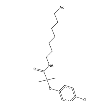 CC(=O)CCCCCCCNC(=O)C(C)(C)Oc1ccc(Cl)cc1